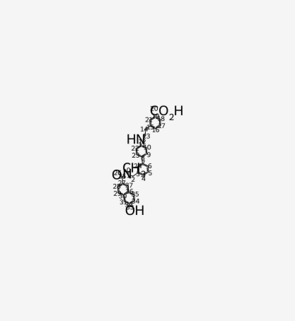 CN(Cc1cccc(-c2ccc(NCCc3cccc(C(=O)O)c3)cc2)c1)C(=O)c1ccc2cc(O)ccc2c1